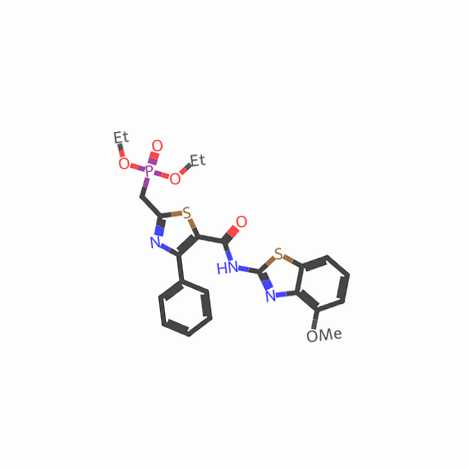 CCOP(=O)(Cc1nc(-c2ccccc2)c(C(=O)Nc2nc3c(OC)cccc3s2)s1)OCC